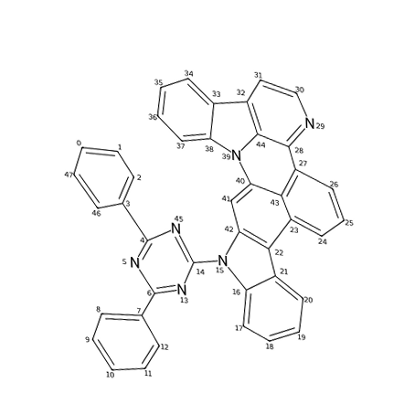 c1ccc(-c2nc(-c3ccccc3)nc(-n3c4ccccc4c4c5cccc6c7nccc8c9ccccc9n(c(cc43)c65)c87)n2)cc1